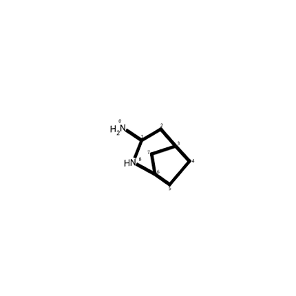 NC1CC2CCC(C2)N1